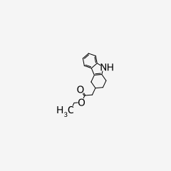 CCOC(=O)CC1CCc2[nH]c3ccccc3c2C1